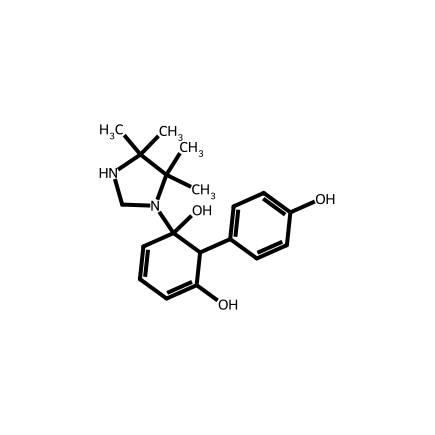 CC1(C)NCN(C2(O)C=CC=C(O)C2c2ccc(O)cc2)C1(C)C